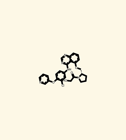 O=C(CO)N1CCC[C@H]1COc1cccc2ncnc(Nc3ccc(Oc4cccnc4)c(Cl)c3)c12